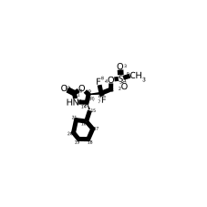 CS(=O)(=O)OCC(F)(F)[C@@H]1OC(=O)N[C@H]1CC1CCCCC1